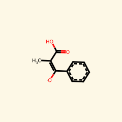 CC(C(=O)O)=C([O])c1ccccc1